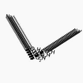 C=CC(=O)O.C=CC(=O)O.C=CC(=O)O.C=CC(=O)O.C=CC(=O)O.C=CC(=O)O.C=CC(=O)O.[Na+].[Na+].[Na+].[Na+].[Na+].[Na+].[Na+].[Na+].[Na+].[Na+].[Na+].[Na+].[Na+].[Na+].[Na+].[Na+].[Na+].[Na+].[Na+].[Na+].[Na+].[Na+].[Na+].[Na+].[Na+].[Na+].[Na+].[Na+].[Na+].[Na+].[Na+].[Na+].[Na+].[Na+].[Na+].[Na+].[Na+].[Na+].[Na+].[Na+].[Na+].[Na+].[Na+].[Na+].[Na+].[Na+].[Na+].[Na+].[Na+].[Na+].[Na+].[Na+]